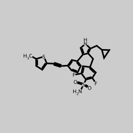 Cc1ccc(C#Cc2cccc(-c3c[nH]c(CC4CC4)c3Cc3cc(F)c(S(N)(=O)=O)c(F)c3)c2)s1